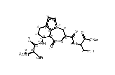 COC(=O)C(CO)NC(=O)[C@H]1CC(=O)C2c3c(ccn3C1)CC[C@@H]2NC(=O)C(NC(C)=O)C(C)C